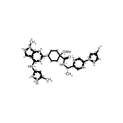 CO[C@]1(C(=O)N[C@@H](C)c2cnc(-n3cc(F)cn3)cn2)CC[C@H](c2nc(Nc3cc(C)[nH]n3)c3cnn(C)c3n2)CC1